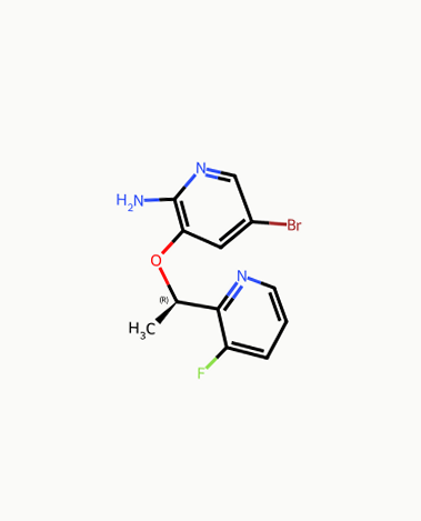 C[C@@H](Oc1cc(Br)cnc1N)c1ncccc1F